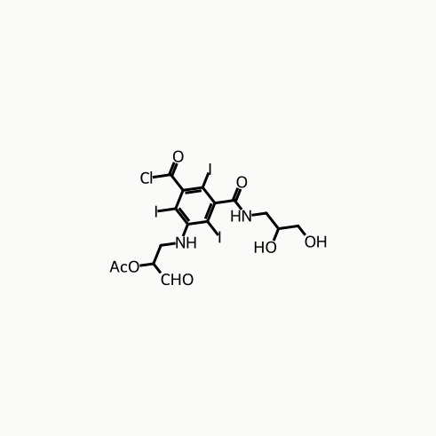 CC(=O)OC(C=O)CNc1c(I)c(C(=O)Cl)c(I)c(C(=O)NCC(O)CO)c1I